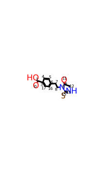 O=C(O)c1ccc(CCN2C(=O)CNC2=S)cc1